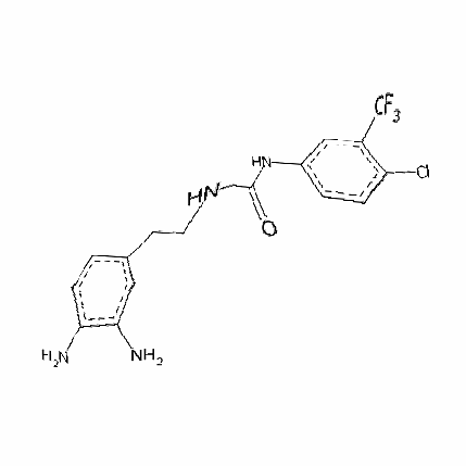 Nc1ccc(CCNC(=O)Nc2ccc(Cl)c(C(F)(F)F)c2)cc1N